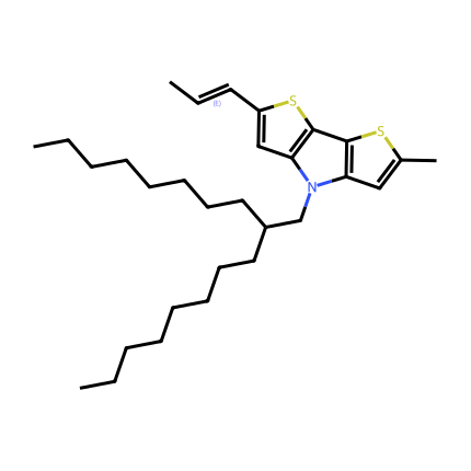 C/C=C/c1cc2c(s1)c1sc(C)cc1n2CC(CCCCCCCC)CCCCCCCC